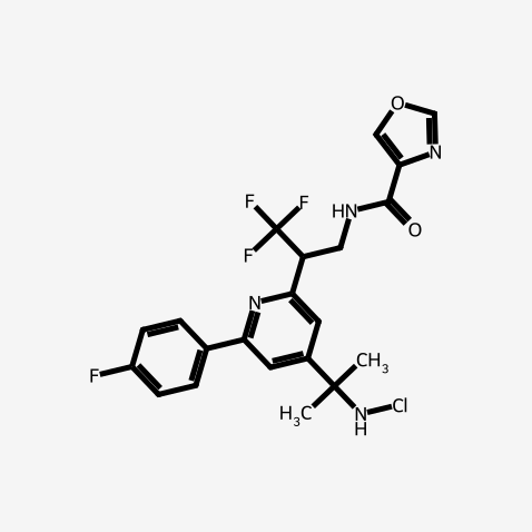 CC(C)(NCl)c1cc(-c2ccc(F)cc2)nc(C(CNC(=O)c2cocn2)C(F)(F)F)c1